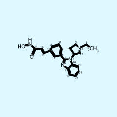 CCN1CCC(n2c(-c3cccc(/C=C/C(=O)NO)c3)nc3ccccc32)C1